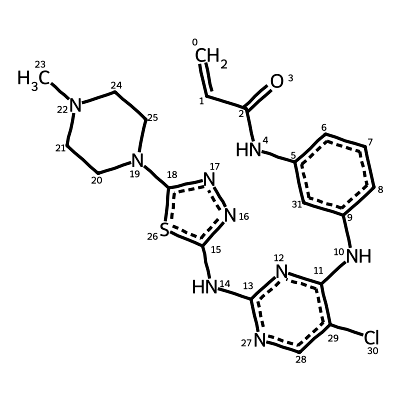 C=CC(=O)Nc1cccc(Nc2nc(Nc3nnc(N4CCN(C)CC4)s3)ncc2Cl)c1